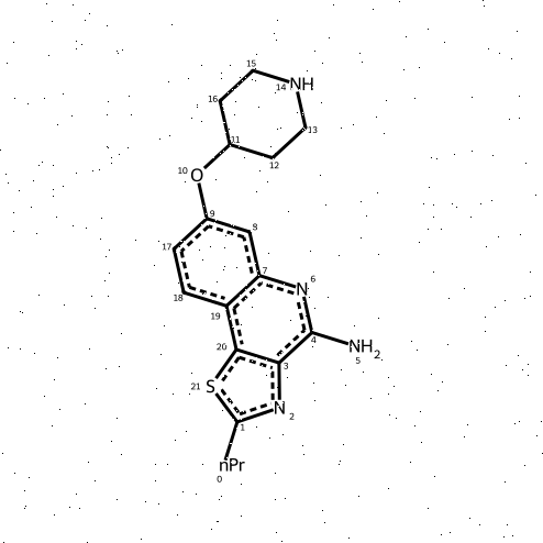 CCCc1nc2c(N)nc3cc(OC4CCNCC4)ccc3c2s1